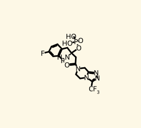 N[C@@](CC(=O)N1CCn2c(nnc2C(F)(F)F)C1)(Cc1ccc(F)cc1F)OP(=O)(O)O